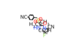 CC(C)([C@H](NC(=O)O)C(=O)N1C[C@@H](F)C[C@H]1C#N)S(=O)(=O)Cc1ccc(C#N)cc1